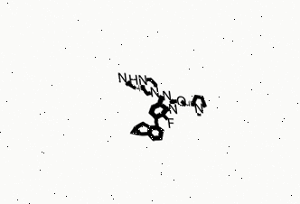 CN1CCC[C@H]1COc1nc(N2CCN[C@@H](CC#N)C2)c2ccc(-c3cccc4c3CC3CC43)c(F)c2n1